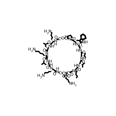 CCCC[C@@H]1NC(=O)CN(S(=O)(=O)CCCN)CCNC(=O)[C@H](CCCCN)NC(=O)[C@H](CC(C)C)NC(=O)[C@H](CCCCCN)NC(=O)[C@H](CC(C)C)NC(=O)[C@H](CCCCN)NC(=O)COC[C@H]2CCCN2C(=O)[C@H](Cc2c[nH]c3ccccc23)NC(=O)[C@H](C)NC(=O)[C@H](C(C)C)NC(=O)[C@H](C(C)C)NC1=O